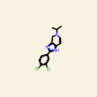 CC(C)N1C=Cc2[nH]c(-c3ccc(Cl)c(Cl)c3)nc2C1